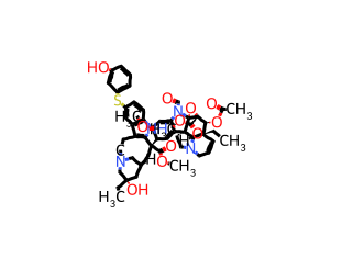 CC[C@]1(O)C[C@H]2CN(CCc3c([nH]c4ccc(Sc5cccc(O)c5)cc34)[C@@](C(=O)OC)(C3C=C4C(=CC3OC)N(C=O)[C@@]35O[C@]3(C(=O)OC)[C@H](OC(C)=O)[C@]3(CC)C=CCN6CC[C@]45[C@@H]63)C2)C1